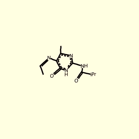 C/C=N\c1c(C)nc(NC(=O)C(C)C)[nH]c1=O